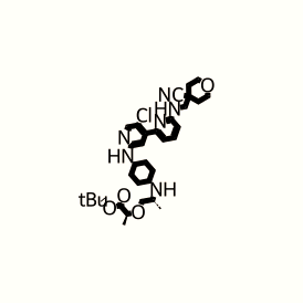 C[C@H](CO[C@@H](C)C(=O)OC(C)(C)C)N[C@H]1CC[C@H](Nc2cc(-c3cccc(NCC4(C#N)CCOCC4)n3)c(Cl)cn2)CC1